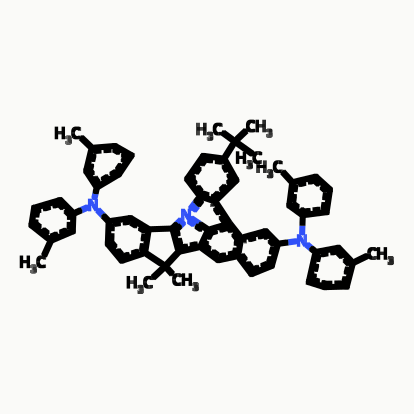 Cc1cccc(N(c2cccc(C)c2)c2ccc3c(c2)-c2c(c4cc5ccc(N(c6cccc(C)c6)c6cccc(C)c6)cc5c5c6cc(C(C)(C)C)ccc6n2c45)C3(C)C)c1